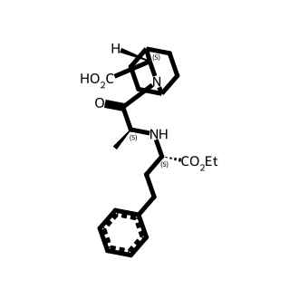 CCOC(=O)[C@H](CCc1ccccc1)N[C@@H](C)C(=O)N1C2CCC(CC2)[C@H]1C(=O)O